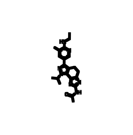 CCNc1ncc(-c2nn(C(C)C)c3c2CCc2nc(NC(C)=O)sc2-3)cc1C